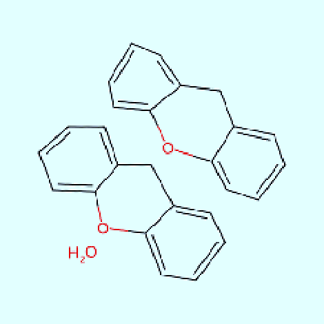 O.c1ccc2c(c1)Cc1ccccc1O2.c1ccc2c(c1)Cc1ccccc1O2